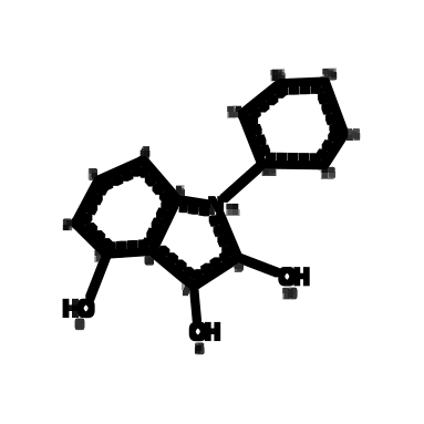 Oc1cccc2c1c(O)c(O)n2-c1ccccc1